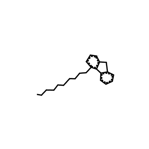 CCCCCCCCCCc1cc[c]c2c1-c1ccccc1C2